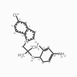 CC(C)(Cn1ccc2cc(Cl)ccc21)OC1CC=C(N)C=C1F